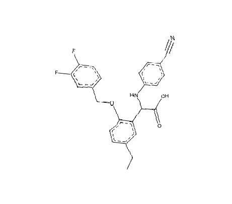 CCc1ccc(OCc2ccc(F)c(F)c2)c(C(Nc2ccc(C#N)cc2)C(=O)O)c1